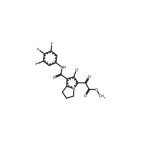 COC(=O)C(=O)c1c(Cl)c(C(=O)Nc2cc(F)c(F)c(F)c2)c2n1CCC2